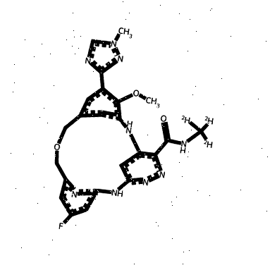 [2H]C([2H])([2H])NC(=O)c1nnc2cc1Nc1cc(cc(-c3ncn(C)n3)c1OC)COCc1cc(F)cc(n1)N2